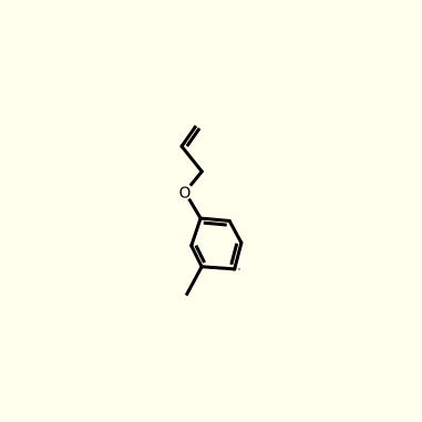 C=CCOc1cc[c]c(C)c1